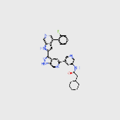 O=C(CC1CCCCC1)Nc1cncc(-c2cc3c(-c4cc5c(-c6ccccc6F)cncc5[nH]4)n[nH]c3cn2)c1